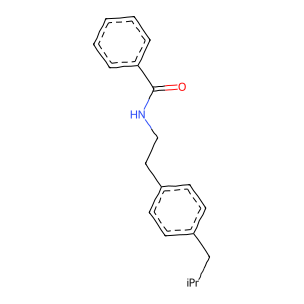 CC(C)Cc1ccc(CCNC(=O)c2ccccc2)cc1